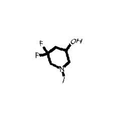 OC1CN(I)CC(F)(F)C1